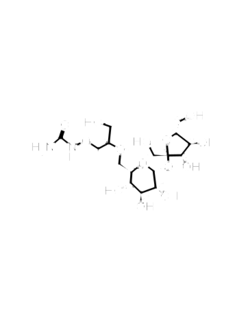 NC(=O)NOCC(CO)OC[C@H]1O[C@H](O[C@]2(CO)O[C@H](CO)[C@@H](O)[C@@H]2O)[C@H](O)[C@@H](O)[C@@H]1O